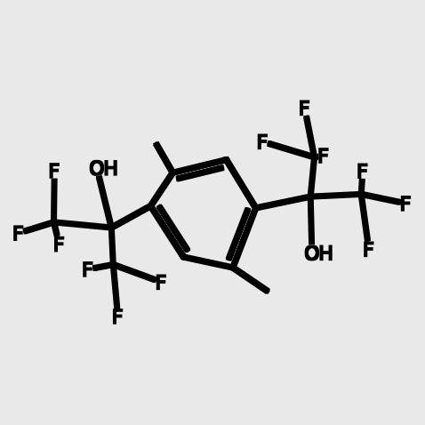 Cc1cc(C(O)(C(F)(F)F)C(F)(F)F)c(C)cc1C(O)(C(F)(F)F)C(F)(F)F